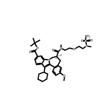 COc1ccc2c(c1)C[C@](C)(C(=O)N(C)CCOCCN(C)S(N)(=O)=O)Cn1c-2c(C2CCCCC2)c2ccc(C(=O)OC(C)(C)C)cc21